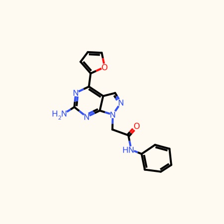 Nc1nc(-c2ccco2)c2cnn(CC(=O)Nc3ccccc3)c2n1